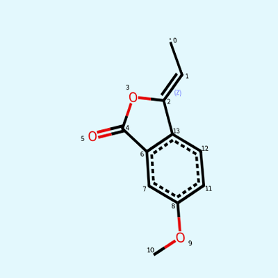 [CH2]/C=C1\OC(=O)c2cc(OC)ccc21